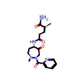 C[C@@H](C[CH]C(=O)N[C@H]1CCN(C)N(C(=O)c2ccccn2)CC1=O)C(N)=O